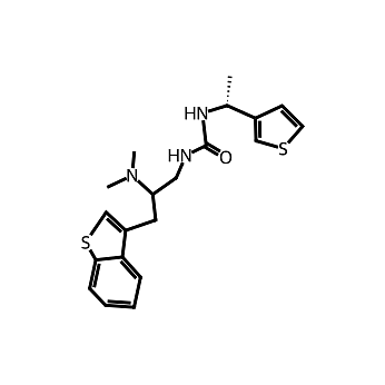 C[C@@H](NC(=O)NCC(Cc1csc2ccccc12)N(C)C)c1ccsc1